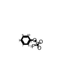 O=S(=O)(F)Oc1ccccc1